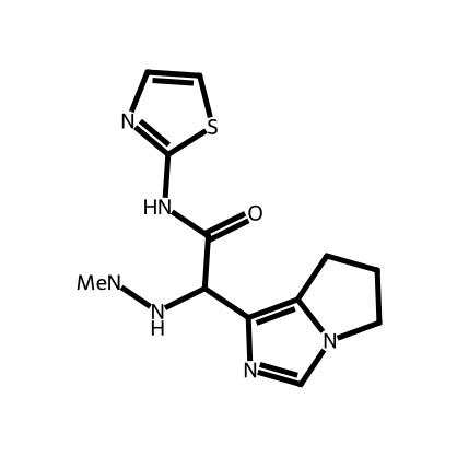 CNNC(C(=O)Nc1nccs1)c1ncn2c1CCC2